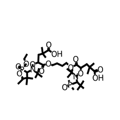 CCOP(=O)(OCC)C(N(OC(CC(C)(C)C(=O)O)C(=O)OCCCCOC(=O)C(CC(C)(C)C(=O)O)ON(C(C(C)(C)C)P(C)(C)=O)C(C)(C)C)C(C)(C)C)C(C)(C)C